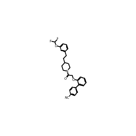 N#Cc1ccc(-c2ccccc2OCC(=O)N2CCC(CCc3cccc(OC(F)F)c3)CC2)cc1